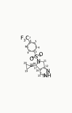 O=S(=O)(c1ccc(C(F)(F)F)cc1)N1Cc2n[nH]cc2[C@H]1C1CC1